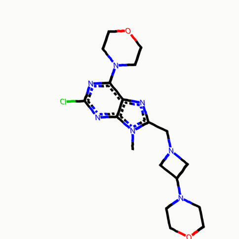 Cn1c(CN2CC(N3CCOCC3)C2)nc2c(N3CCOCC3)nc(Cl)nc21